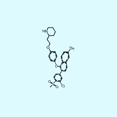 CS(=O)(=O)c1ccc(-c2ccc3cc(O)ccc3c2Oc2ccc(OCCC3CCCCN3)cc2)cc1Cl